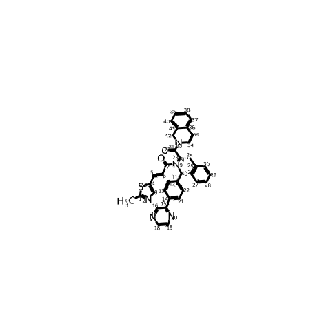 Cc1ncc(C=CC(=O)N(Cc2ccc(-c3cnccn3)cc2)[C@@H](Cc2ccccc2)C(=O)N2CCc3ccccc3C2)s1